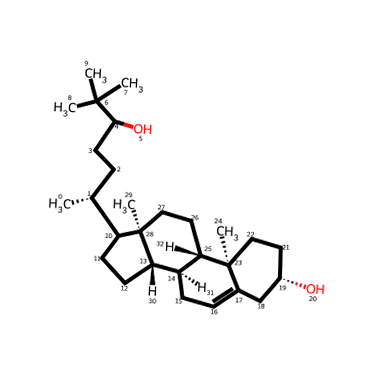 C[C@H](CCC(O)C(C)(C)C)C1CC[C@H]2[C@@H]3CC=C4C[C@@H](O)CC[C@]4(C)[C@H]3CC[C@]12C